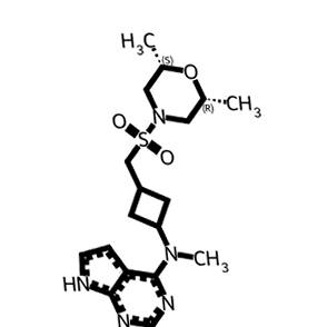 C[C@@H]1CN(S(=O)(=O)CC2CC(N(C)c3ncnc4[nH]ccc34)C2)C[C@H](C)O1